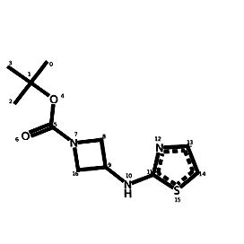 CC(C)(C)OC(=O)N1CC(Nc2n[c]cs2)C1